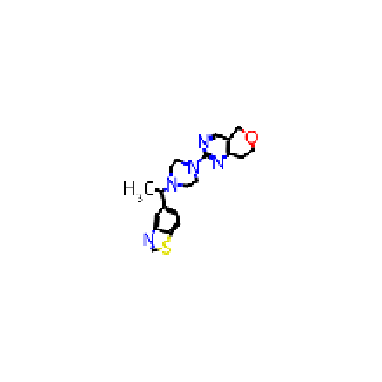 CC(c1ccc2scnc2c1)N1CCN(c2ncc3c(n2)CCOC3)CC1